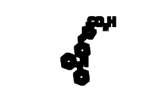 O=C(O)N1CC/C(=C\c2ccc(N=C(c3ccccc3)c3ccccc3)cc2)C1